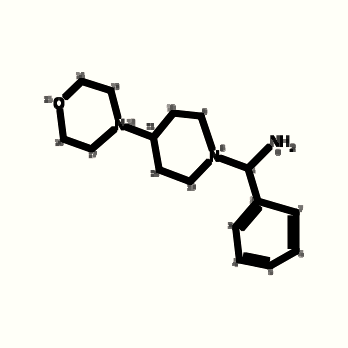 NC(c1c[c]ccc1)N1CCC(N2CCOCC2)CC1